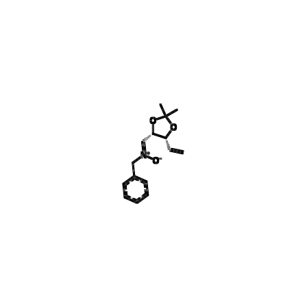 C=C[C@H]1OC(C)(C)O[C@H]1/C=[N+](\[O-])Cc1ccccc1